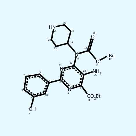 CCOC(=O)c1nc(-c2cccc(O)c2)nc(N(C(=O)OC(C)(C)C)C2CCNCC2)c1N